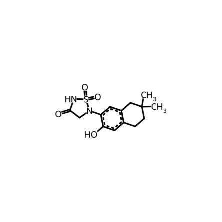 CC1(C)CCc2cc(O)c(N3CC(=O)NS3(=O)=O)cc2C1